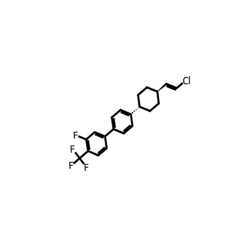 Fc1cc(-c2ccc([C@H]3CC[C@H](/C=C/Cl)CC3)cc2)ccc1C(F)(F)F